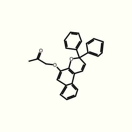 CC(=O)COc1cc2ccccc2c2c1OC(c1ccccc1)(c1ccccc1)C=C2